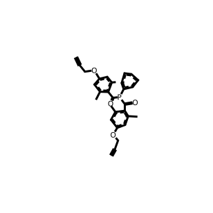 C#CCOc1cc(C)c(C(=O)P(C(=O)c2c(C)cc(OCC#C)cc2C)c2ccccc2)c(C)c1